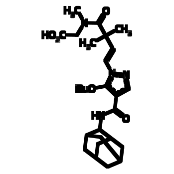 CC(C)COc1c(C(=O)NC2C3CC4CC(C3)CC2C4)cnn1/C=C/C(C)(C)C(=O)N(C)CC(=O)O